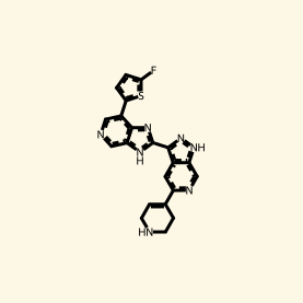 Fc1ccc(-c2cncc3[nH]c(-c4n[nH]c5cnc(C6=CCNCC6)cc45)nc23)s1